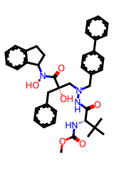 COC(=O)N[C@H](C(=O)NN(Cc1ccc(-c2ccccc2)cc1)C[C@@](O)(Cc1ccccc1)C(=O)N(O)C1CCc2ccccc21)C(C)(C)C